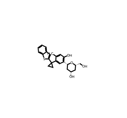 Cc1cc(O)c([C@H]2C[C@@H](O)C[C@@H](CO)O2)cc1C1(c2cc3ccccc3s2)CC1